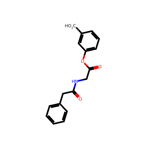 O=C(Cc1ccccc1)NCC(=O)Oc1cccc(C(=O)O)c1